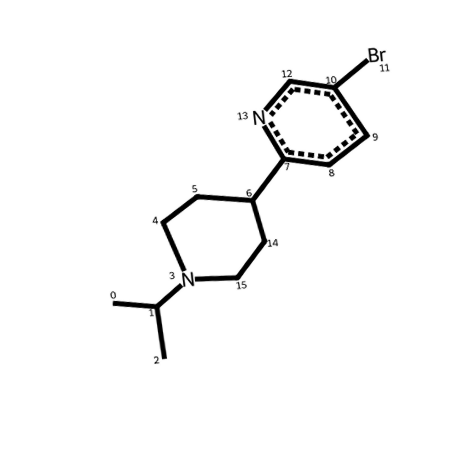 CC(C)N1CCC(c2ccc(Br)cn2)CC1